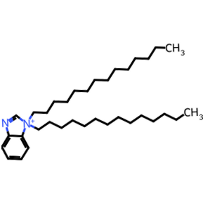 CCCCCCCCCCCCCC[N+]1(CCCCCCCCCCCCCC)C=Nc2ccccc21